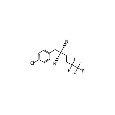 N#CC(C#N)(CCC(F)(F)C(F)(F)F)Cc1ccc(Cl)cc1